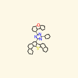 c1ccc(-c2nc(-c3cccc4oc5ccccc5c34)nc(-c3cc4ccc5ccccc5c4c4sc5c6ccccc6ccc5c34)n2)cc1